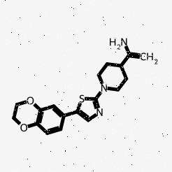 C=C(N)C1CCN(c2ncc(-c3ccc4c(c3)OCCO4)s2)CC1